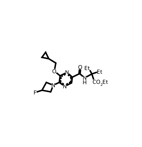 CCOC(=O)C(CC)(CC)NC(=O)c1cnc(N2CC(F)C2)c(OCC2CC2)n1